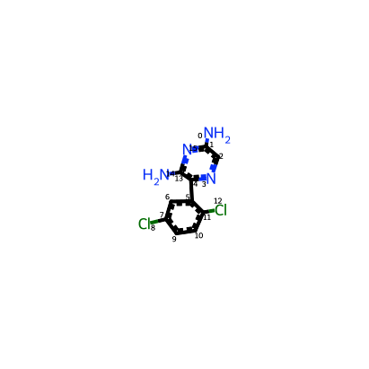 Nc1cnc(-c2cc(Cl)ccc2Cl)c(N)n1